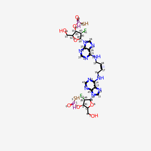 O=[PH](S)O[C@@H]1C(CO)O[C@@H](n2cnc3c(NC/C=C\CNc4ncnc5c4ncn5[C@@H]4OC(CO)[C@@H](O[PH](=O)S)[C@H]4F)ncnc32)[C@@H]1F